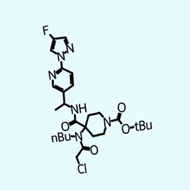 CCCCN(C(=O)CCl)C1(C(=O)NC(C)c2ccc(-n3cc(F)cn3)nc2)CCN(C(=O)OC(C)(C)C)CC1